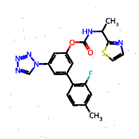 Cc1ccc(-c2cc(OC(=O)NC(C)c3nccs3)cc(-n3cnnn3)c2)c(F)c1